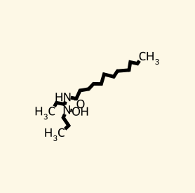 CCCCCCCCCCCC(=O)NC(CC)N(O)CCC